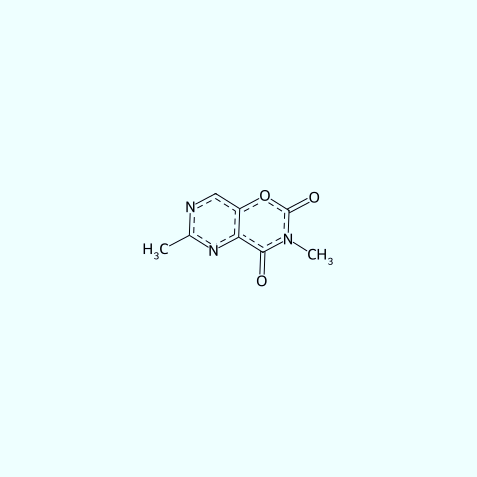 Cc1ncc2oc(=O)n(C)c(=O)c2n1